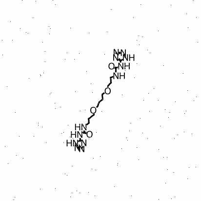 O=C(NCCCOCCCCOCCCNC(=O)Nc1nnn[nH]1)Nc1nnn[nH]1